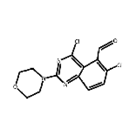 O=Cc1c(Cl)ccc2nc(N3CCOCC3)nc(Cl)c12